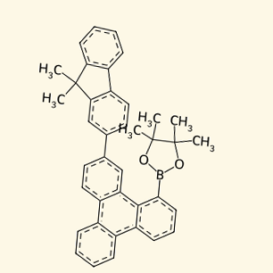 CC1(C)c2ccccc2-c2ccc(-c3ccc4c5ccccc5c5cccc(B6OC(C)(C)C(C)(C)O6)c5c4c3)cc21